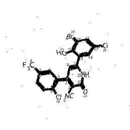 N#Cc1c(-c2cc(C(F)(F)F)ccc2Cl)cc(-c2cc(Cl)cc(Br)c2O)[nH]c1=O